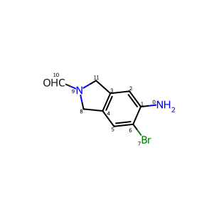 Nc1cc2c(cc1Br)CN(C=O)C2